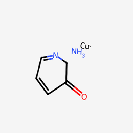 N.O=C1C=CC=NC1.[Cu]